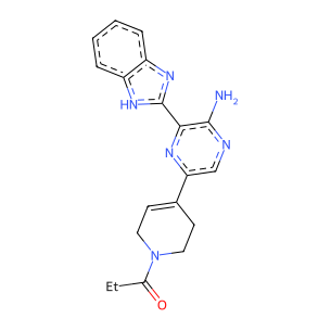 CCC(=O)N1CC=C(c2cnc(N)c(-c3nc4ccccc4[nH]3)n2)CC1